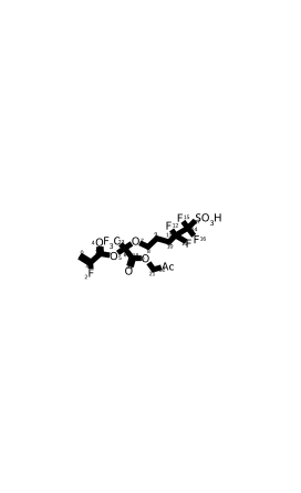 C=C(F)C(=O)OC(OCCCC(F)(F)C(F)(F)S(=O)(=O)O)(C(=O)OCC(C)=O)C(F)(F)F